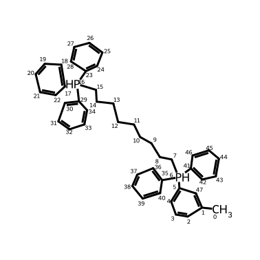 Cc1cccc([PH](CCCCCCCCC[PH](c2ccccc2)(c2ccccc2)c2ccccc2)(c2ccccc2)c2ccccc2)c1